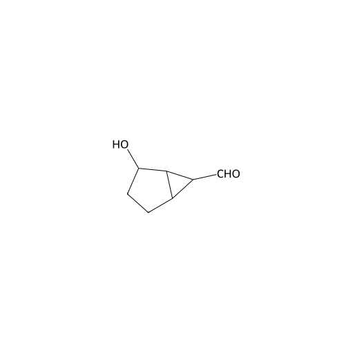 O=CC1C2CCC(O)C12